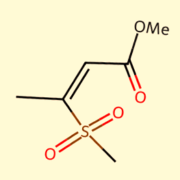 COC(=O)C=C(C)S(C)(=O)=O